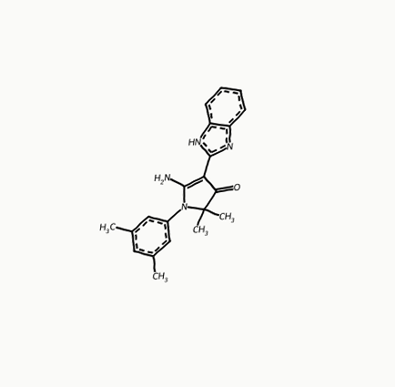 Cc1cc(C)cc(N2C(N)=C(c3nc4ccccc4[nH]3)C(=O)C2(C)C)c1